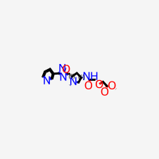 COC(=O)COCC(=O)N[C@H]1C[C@@H](c2nc(-c3cccnc3)no2)N(C)C1